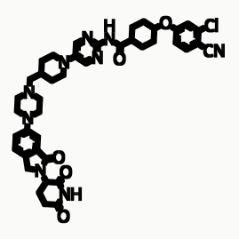 N#Cc1ccc(OC2CCC(C(=O)Nc3ncc(N4CCC(CN5CCN(c6ccc7c(c6)C(=O)N(C6CCC(=O)NC6=O)C7)CC5)CC4)cn3)CC2)cc1Cl